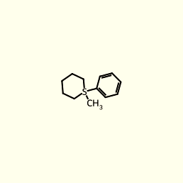 CS1(c2ccccc2)CCCCC1